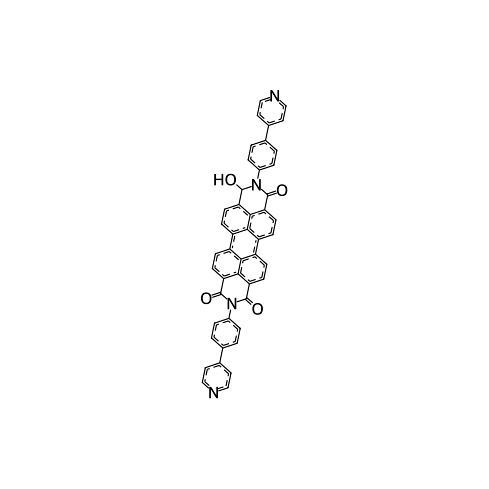 O=C1c2ccc3c4ccc5c6c(ccc(c7ccc(c2c37)C(=O)N1c1ccc(-c2ccncc2)cc1)c64)C(O)N(c1ccc(-c2ccncc2)cc1)C5=O